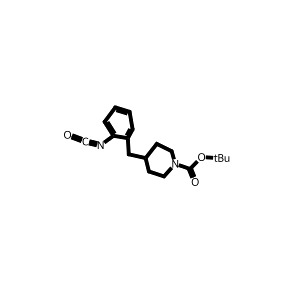 CC(C)(C)OC(=O)N1CCC(Cc2ccccc2N=C=O)CC1